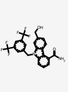 NC(=O)c1cccc2c1c1[c]cc(CO)cc1n2Cc1cc(C(F)(F)F)cc(C(F)(F)F)c1